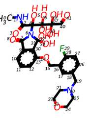 CNC(=O)C(O)(N1C(=O)c2cccc(OCc3cc(CN4CCOCC4)ccc3F)c2C1(O)O)C(O)(O)C(O)(O)C=O